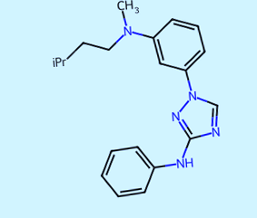 CC(C)CCN(C)c1cccc(-n2cnc(Nc3ccccc3)n2)c1